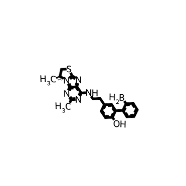 Bc1ccccc1-c1cc(CCNc2nc(C)nc3c2nc2n3[C@@H](C)CS2)ccc1O